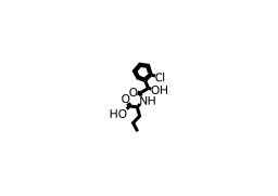 CCCC(NC(=O)C(O)c1ccccc1Cl)C(=O)O